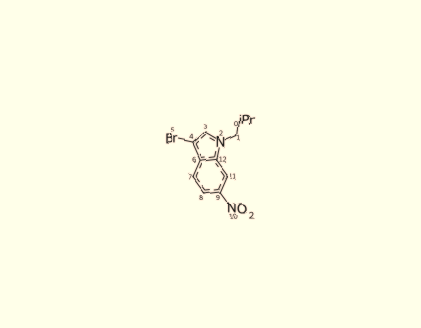 CC(C)Cn1cc(Br)c2ccc([N+](=O)[O-])cc21